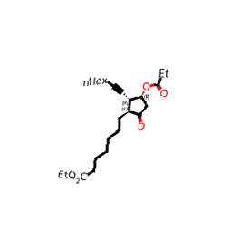 CCCCCCC#C[C@H]1[C@H](CCCCCCC(=O)OCC)C(=O)C[C@H]1OC(=O)CC